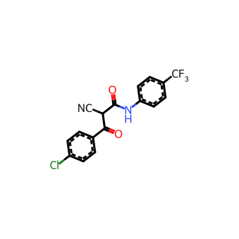 N#CC(C(=O)Nc1ccc(C(F)(F)F)cc1)C(=O)c1ccc(Cl)cc1